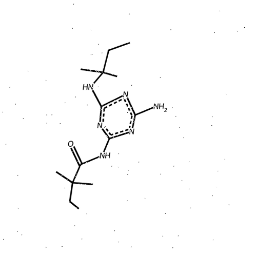 CCC(C)(C)Nc1nc(N)nc(NC(=O)C(C)(C)CC)n1